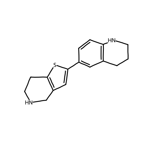 c1cc2c(cc1-c1cc3c(s1)CCNC3)CCCN2